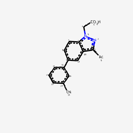 CC(=O)c1nn(CC(=O)O)c2ccc(-c3cccc(C#N)c3)cc12